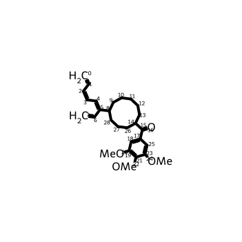 C=C/C=C\C=C(/C=C)C1CCCCCC(C(=O)c2cc(OC)c(OC)c(OC)c2)CCC1